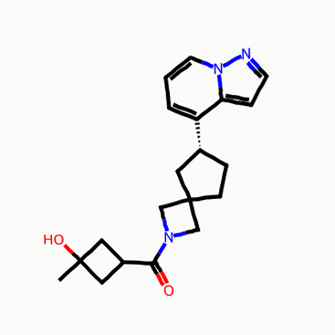 CC1(O)CC(C(=O)N2CC3(CC[C@@H](c4cccn5nccc45)C3)C2)C1